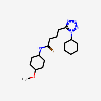 COC1CCC(NC(=S)CCCc2nnnn2C2CCCCC2)CC1